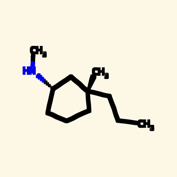 CCC[C@]1(C)CCC[C@H](NC)C1